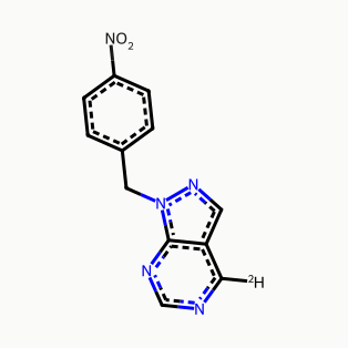 [2H]c1ncnc2c1cnn2Cc1ccc([N+](=O)[O-])cc1